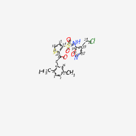 Cc1ccc(C)c(CC(=O)c2sccc2S(=O)(=O)Nc2oncc2CCl)c1